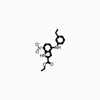 CCOC(=O)c1cc2c(Nc3cccc(CC)c3)ccc([N+](=O)[O-])c2[nH]1